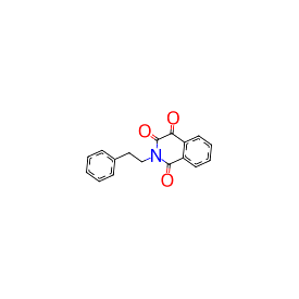 O=C1C(=O)N(CCc2ccccc2)C(=O)c2ccccc21